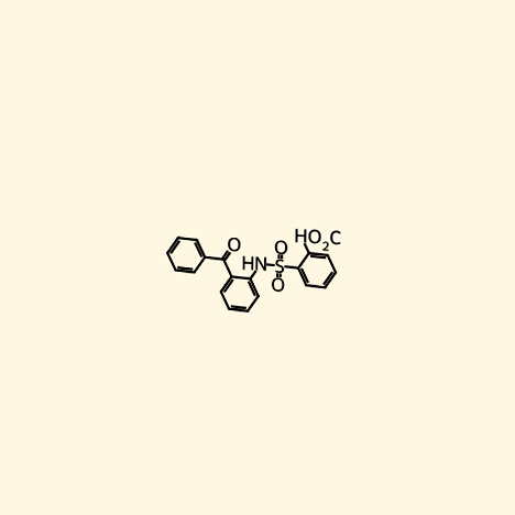 O=C(c1ccccc1)c1ccccc1NS(=O)(=O)c1ccccc1C(=O)O